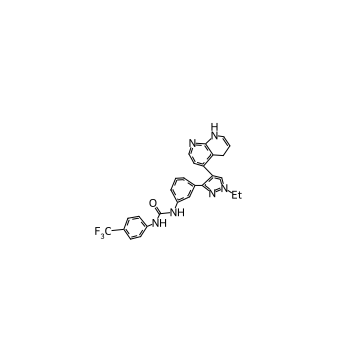 CCn1cc(-c2ccnc3c2CC=CN3)c(-c2cccc(NC(=O)Nc3ccc(C(F)(F)F)cc3)c2)n1